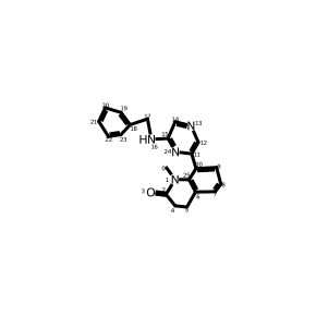 CN1C(=O)CCc2cccc(-c3cncc(NCc4ccccc4)n3)c21